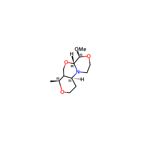 CO[C@H]1OCCN2[C@@H]1OCC1[C@H](C)OCC[C@@H]12